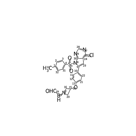 Cc1ccc(S(=O)(=O)n2c(-c3ccc(OC4CN(BC=O)C4)cc3)cc3c(Cl)ncnc32)cc1